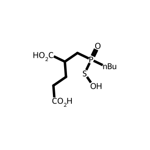 CCCCP(=O)(CC(CCC(=O)O)C(=O)O)SO